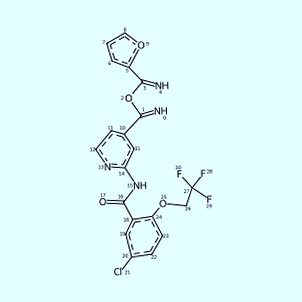 N=C(OC(=N)c1ccco1)c1ccnc(NC(=O)c2cc(Cl)ccc2OCC(F)(F)F)c1